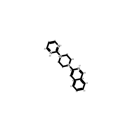 c1cnc(N2CCN(c3cc4ccccc4cn3)CC2)nc1